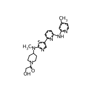 Cc1ccnc(Nc2cccc(-c3cnc(N(C)C4CCN(C(=O)CO)CC4)s3)n2)c1